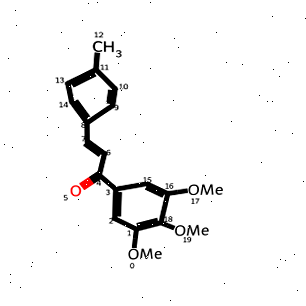 COc1cc(C(=O)C=Cc2ccc(C)cc2)cc(OC)c1OC